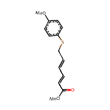 COC(=O)C=CC=CCSc1ccc(OC)cc1